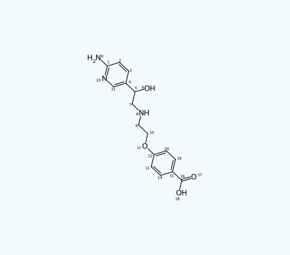 Nc1ccc(C(O)CNCCOc2ccc(C(=O)O)cc2)cn1